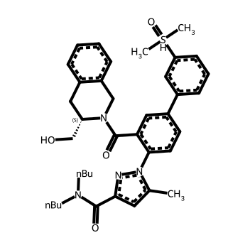 CCCCN(CCCC)C(=O)c1cc(C)n(-c2ccc(-c3cccc([SH](C)(C)=O)c3)cc2C(=O)N2Cc3ccccc3C[C@H]2CO)n1